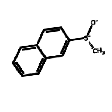 C[S@@+]([O-])c1ccc2ccccc2c1